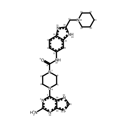 Nc1nc(N2CCN(C(=O)Nc3ccc4nc(CN5CCCCC5)[nH]c4c3)CC2)c2ncsc2n1